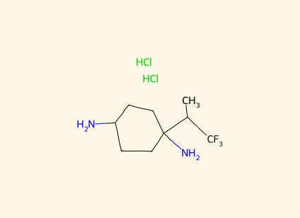 CC(C(F)(F)F)C1(N)CCC(N)CC1.Cl.Cl